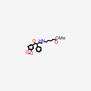 COC(=O)CCCCNCCC(C(=O)c1ccc2c(c1)OCO2)c1ccccc1